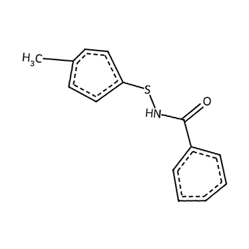 Cc1ccc(SNC(=O)c2ccccc2)cc1